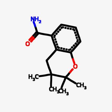 CC1(C)Cc2c(cccc2C(N)=O)OC1(C)C